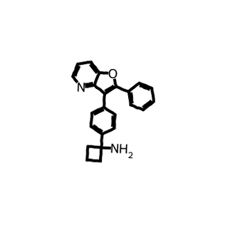 NC1(c2ccc(-c3c(-c4ccccc4)oc4cccnc34)cc2)CCC1